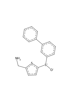 NCc1ccc([S+]([O-])c2cccc(-c3ccccc3)c2)s1